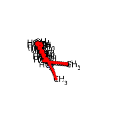 CCCCCCCCCCCCC/C=C/[C@@H](O)[C@H](CO[C@@H]1OC(CO)[C@@H](O[C@@H]2OC(CO)[C@H](O[C@@H]3OC(CO)[C@H](O)[C@H](O[C@@H]4OC(CO)[C@H](O[C@@H]5OC(CO)[C@H](O)[C@H](O)C5O)[C@H](O)C4NC(C)=O)C3O)[C@H](O)C2O)[C@H](O)C1O)NC(=O)CCCCCCCCCCCCCCCCC